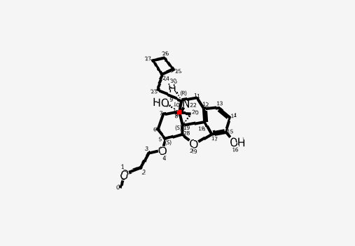 COCCO[C@H]1CC[C@@]2(O)[C@H]3Cc4ccc(O)c5c4[C@@]2(CCN3CC2CCC2)C1O5